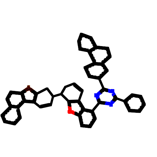 C1=Cc2c(oc3cccc(-c4nc(-c5ccccc5)nc(-c5ccc6c(ccc7ccccc76)c5)n4)c23)C(C2C=Cc3c(sc4ccc5ccccc5c34)C2)C1